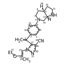 C=C(c1ccc(N2CC[C@@H]3CCN[C@@H]3C2)nc1)c1c(C#N)cnn1/C=C(\C)OCC